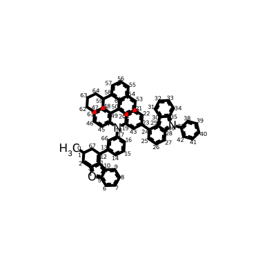 CC1C=c2oc3ccccc3c2=C(c2cccc(N(c3cccc(-c4cccc5c4c4ccccc4n5-c4ccccc4)c3)c3ccccc3-c3cccc4cccc(C5CCCCC5)c34)c2)C1